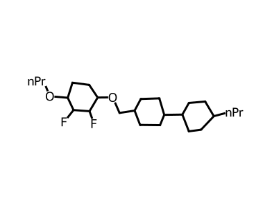 CCCOC1CCC(OCC2CCC(C3CCC(CCC)CC3)CC2)C(F)C1F